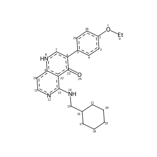 CCOc1ccc(-c2c[nH]c3ccnc(NCC4CCCCC4)c3c2=O)cc1